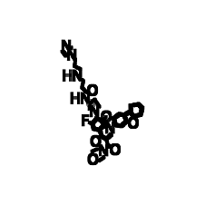 O=C(CCNCCCn1ccnc1)N[C@@H]1CCN(c2c(F)cc3c(=O)c(C(=O)N4CCOCC4)cn4c3c2Oc2cc3c(cc2-4)oc2ccccc23)C1